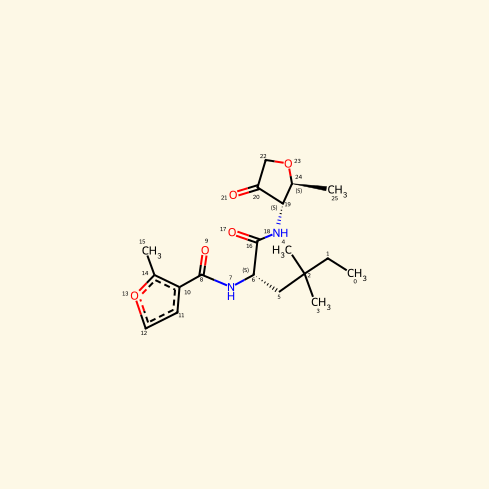 CCC(C)(C)C[C@H](NC(=O)c1ccoc1C)C(=O)N[C@@H]1C(=O)CO[C@H]1C